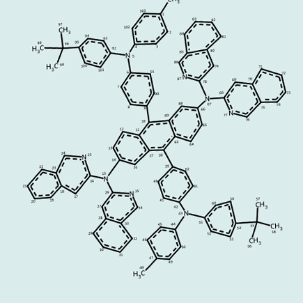 Cc1ccc(N(c2ccc(-c3c4ccc(N(c5cc6ccccc6cn5)c5cc6ccccc6cn5)cc4c(-c4ccc(N(c5ccc(C)cc5)c5ccc(C(C)(C)C)cc5)cc4)c4ccc(N(c5cc6ccccc6cn5)c5cc6ccccc6cn5)cc34)cc2)c2ccc(C(C)(C)C)cc2)cc1